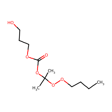 CCCCOOC(C)(C)OC(=O)OCCCO